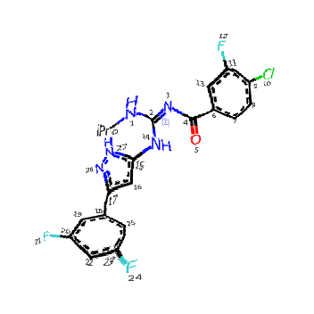 CC(C)N/C(=N/C(=O)c1ccc(Cl)c(F)c1)Nc1cc(-c2cc(F)cc(F)c2)n[nH]1